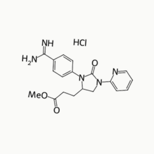 COC(=O)CCC1CN(c2ccccn2)C(=O)N1c1ccc(C(=N)N)cc1.Cl